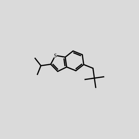 CC(C)c1cc2cc(CC(C)(C)C)ccc2s1